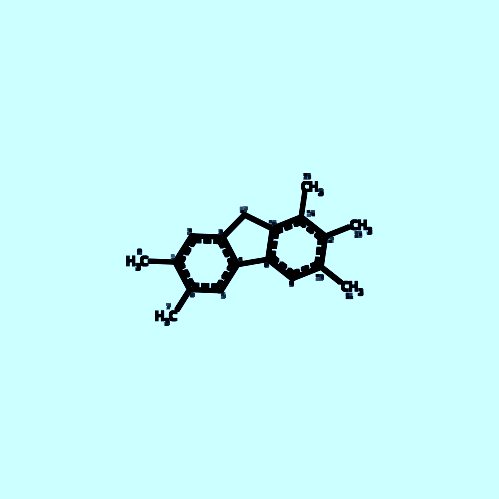 Cc1cc2c(cc1C)-c1cc(C)c(C)c(C)c1C2